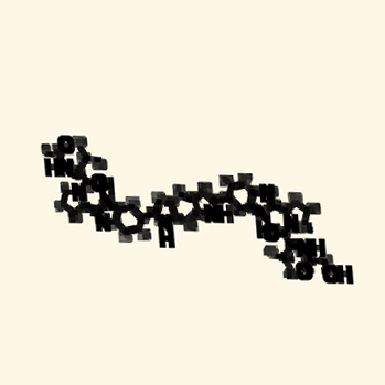 CC(=O)N[C@@H](C(=O)N1CCCC1c1nc2ccc(-c3cc4cc5cc(-c6ccc7nc(C8CCCN8C(=O)[C@@H](NC(=O)CO)C(C)C)[nH]c7c6)[nH]c5cc4[nH]3)cc2[nH]1)C(C)C